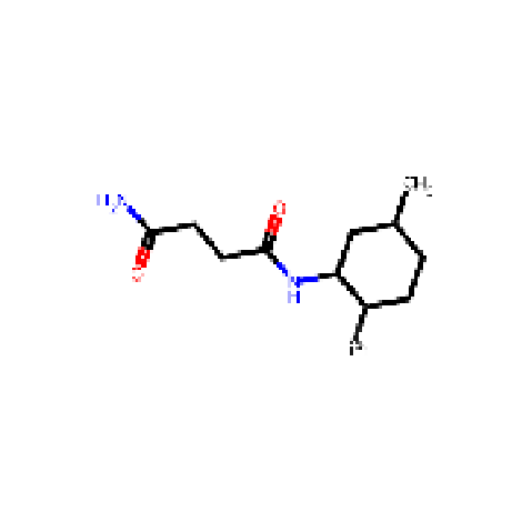 CC1CCC(C(C)C)C(NC(=O)CCC(N)=O)C1